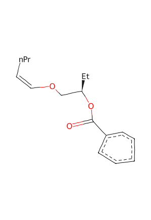 CCC/C=C\OC[C@@H](CC)OC(=O)c1ccccc1